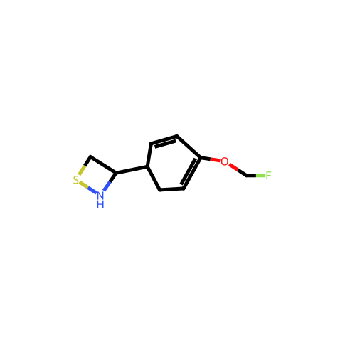 FCOC1=CCC(C2CSN2)C=C1